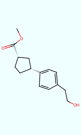 COC(=O)[C@H]1CC[C@@H](c2ccc(CCO)cc2)C1